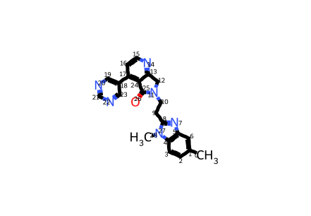 Cc1ccc2c(c1)nc(CCN1Cc3nccc(-c4cncnc4)c3C1=O)n2C